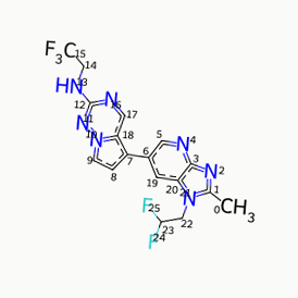 Cc1nc2ncc(-c3ccn4nc(NCC(F)(F)F)ncc34)cc2n1CC(F)F